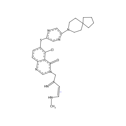 CN/C=C\C(=N)Cn1cnc2ccc(Sc3cnc(N4CCC5(CCCC5)CC4)cn3)c(Cl)c2c1=O